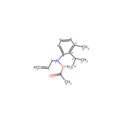 C=CCN(OC(C)=O)c1cccc(C)c1C(C)C